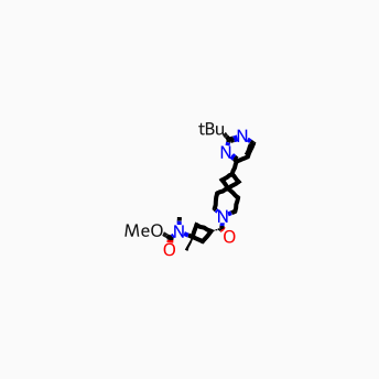 COC(=O)N(C)[C@]1(C)C[C@H](C(=O)N2CCC3(CC2)CC(c2ccnc(C(C)(C)C)n2)C3)C1